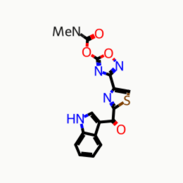 CNC(=O)Oc1nc(-c2csc(C(=O)c3c[nH]c4ccccc34)n2)no1